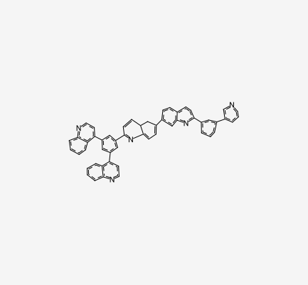 C1=CC2CC(c3ccc4ccc(-c5cccc(-c6cccnc6)c5)nc4c3)=CC=C2N=C1c1cc(-c2ccnc3ccccc23)cc(-c2ccnc3ccccc23)c1